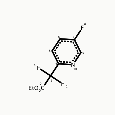 CCOC(=O)C(F)(F)c1ccc(F)cn1